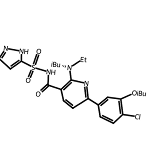 CC[C@@H](C)N(CC)c1nc(-c2ccc(Cl)c(OCC(C)C)c2)ccc1C(=O)NS(=O)(=O)c1ccn[nH]1